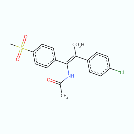 CS(=O)(=O)c1ccc(/C(NC(=O)C(F)(F)F)=C(\C(=O)O)c2ccc(Cl)cc2)cc1